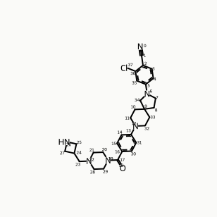 N#Cc1ccc(N2CCC3(CCN(c4ccc(C(=O)N5CCN(CC6CNC6)CC5)cc4)CC3)C2)cc1Cl